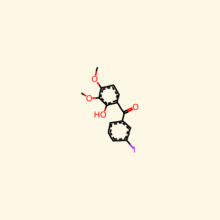 COc1ccc(C(=O)c2cccc(I)c2)c(O)c1OC